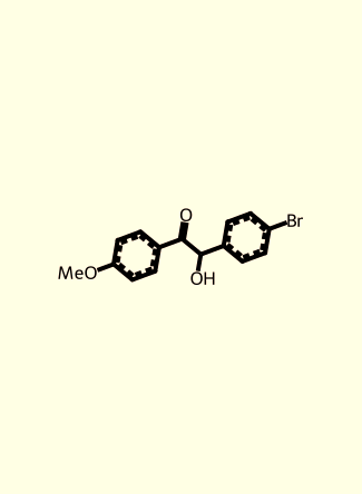 COc1ccc(C(=O)C(O)c2ccc(Br)cc2)cc1